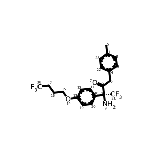 Cc1ccc(CC(=O)[C@@](N)(c2ccc(OCCCC(F)(F)F)cc2)C(F)(F)F)cc1